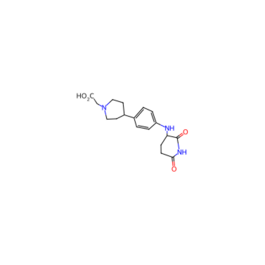 O=C(O)CN1CCC(c2ccc(NC3CCC(=O)NC3=O)cc2)CC1